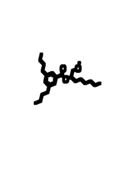 CCCCCCC(COC)OC(=O)c1cc(CCCC)cc(CCCC)c1